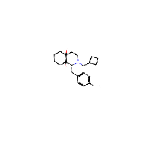 COc1ccc(C[C@@H]2N(CC3CCC3)CCC3(O)CCCCC23O)cc1